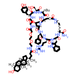 CCCC[C@H](NC(=O)[C@H](CO)NC(=O)[C@H](Cc1ccc(O)cc1)NC(=O)CCNC(=O)COCCOCCNC(=O)CCC(C)[C@H]1CC[C@H]2[C@@H]3CC[C@]4(C)CC(O)CC[C@]4(C)[C@H]3CC[C@]12C)C(=O)N[C@H]1CCC(=O)NCCCC[C@@H](C(N)=O)NC(=O)[C@H](Cc2c[nH]c3ccccc23)NC(=O)[C@H](CCCNC(=N)N)NC(=O)[C@@H](Cc2ccccc2)NC(=O)[C@@H]2C[C@@H](O)CN2C1=O